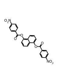 O=C(Oc1cccc2c(OC(=O)c3ccc([N+](=O)[O-])cc3)cccc12)c1ccc([N+](=O)[O-])cc1